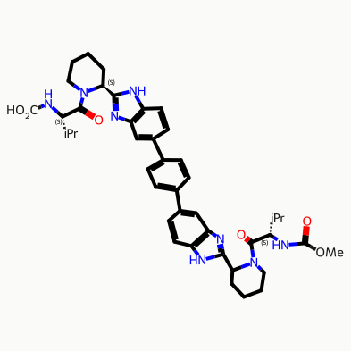 COC(=O)N[C@H](C(=O)N1CCCCC1c1nc2cc(-c3ccc(-c4ccc5[nH]c([C@@H]6CCCCN6C(=O)[C@@H](NC(=O)O)C(C)C)nc5c4)cc3)ccc2[nH]1)C(C)C